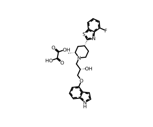 C[C@@H]1C[C@H](c2nc3c(F)cccc3s2)CCN1C[C@H](O)COc1cccc2[nH]ccc12.O=C(O)C(=O)O